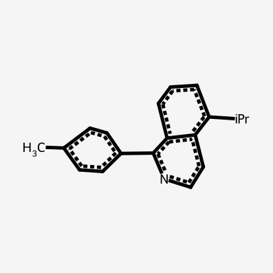 Cc1ccc(-c2nccc3c(C(C)C)cccc23)cc1